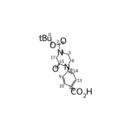 CC(C)(C)OC(=O)N1CCN(c2ccc(C(=O)O)cc2)C(=O)C1